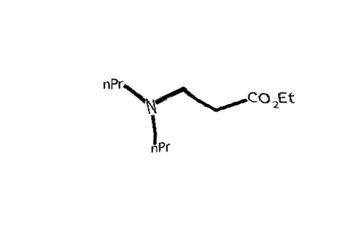 CCCN(CCC)CCC(=O)OCC